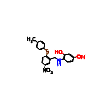 Cc1ccc(Sc2ccc([N+](=O)[O-])cc2CNc2ccc(O)cc2O)cc1